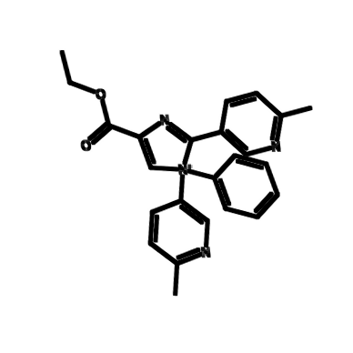 CCOC(=O)C1=C[N+](c2ccccc2)(c2ccc(C)nc2)C(c2ccc(C)nc2)=N1